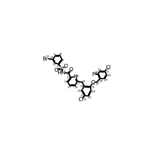 O=C(NS(=O)(=O)c1cccc(Br)c1)c1cccc(Cc2cc(Cl)ccc2OCc2ccc(Cl)cc2F)n1